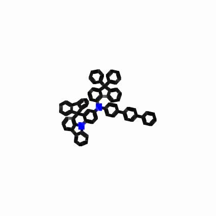 c1ccc(-c2ccc(-c3ccc(N(c4ccc5c(c4)C4(c6ccccc6-c6ccccc64)c4cccc6c7ccccc7n-5c46)c4cccc5c4-c4ccccc4C5(c4ccccc4)c4ccccc4)cc3)cc2)cc1